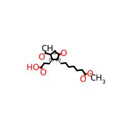 COC(=O)CCCCCC[C@H]1C(=O)CC(C(C)=O)[C@@H]1CCC(=O)O